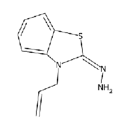 C=CCn1c(=NN)sc2ccccc21